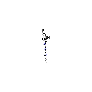 CC(C)=CCC/C(C)=C/CC/C(C)=C/CC/C(C)=C/COC(=O)Nc1ccc(CF)cc1